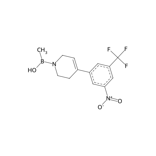 CB(O)N1CC=C(c2cc([N+](=O)[O-])cc(C(F)(F)F)c2)CC1